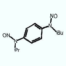 CCC(C)N(N=O)c1ccc(N(N=O)C(C)C)cc1